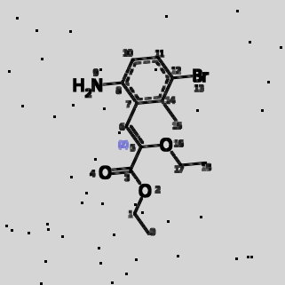 CCOC(=O)/C(=C/c1c(N)ccc(Br)c1C)OCC